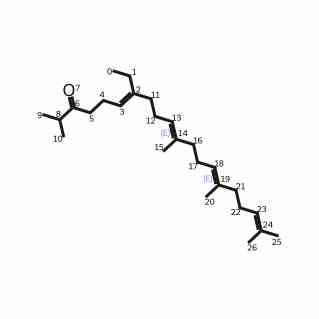 CCC(=CCCC(=O)C(C)C)CC/C=C(\C)CC/C=C(\C)CCC=C(C)C